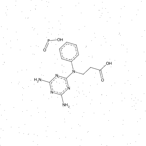 Nc1nc(N)nc(N(CCC(=O)O)c2ccccc2)n1.O=PO